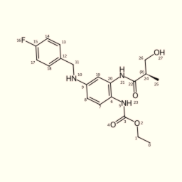 CCOC(=O)Nc1ccc(NCc2ccc(F)cc2)cc1NC(=O)[C@H](C)CO